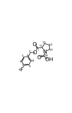 O=C(OCc1ccc(F)cc1)C1CCCN1C(=O)O